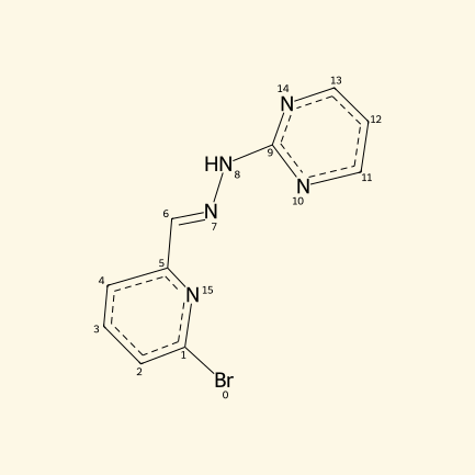 Brc1cccc(C=NNc2ncccn2)n1